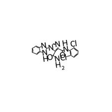 NC(=O)c1c(C(=O)Nc2c(Cl)cccc2Cl)ncn1-c1nc2ccccc2[nH]1